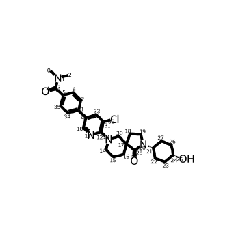 CN(C)C(=O)c1ccc(-c2cnc(N3CCCC4(CCN([C@H]5CC[C@@H](O)CC5)C4=O)C3)c(Cl)c2)cc1